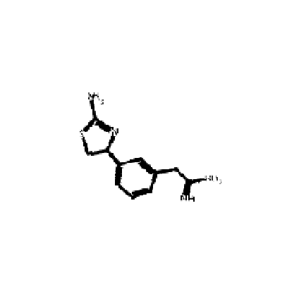 N=C(N)Cc1cccc(C2CSC(N)=N2)c1